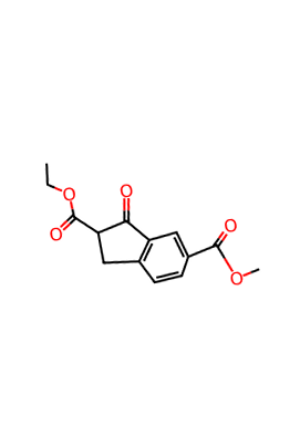 CCOC(=O)C1Cc2ccc(C(=O)OC)cc2C1=O